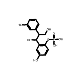 O=P(O)(O)Sc1ccc(O)cc1C(O)C(CO)c1cccc(O)c1